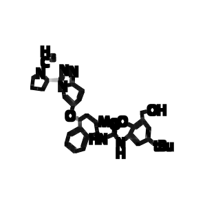 COc1c(CO)cc(C(C)(C)C)cc1NC(=O)N[C@H]1CC[C@@H](Oc2ccc3nnc([C@@H]4CCCN4C)n3c2)c2ccccc21